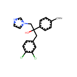 COc1ccc(C(O)(Cc2ccc(Cl)c(Cl)c2)Cn2ccnc2)cc1